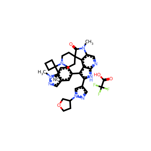 CN1C(=O)C2(CCN(C3(CC#N)CCC3)CC2)c2c1cnc1[nH]c(-c3cnn(C4CCOC4)c3)c(-c3ccc4c(cnn4C)c3)c21.O=C(O)C(F)(F)F